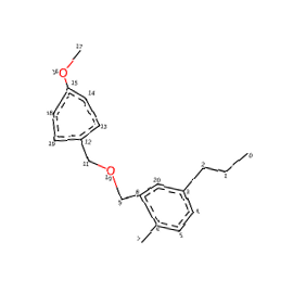 CCCc1ccc(C)c(COCc2ccc(OC)cc2)c1